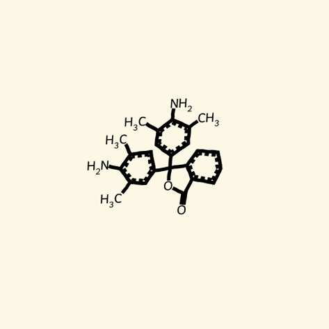 Cc1cc(C2(c3cc(C)c(N)c(C)c3)OC(=O)c3ccccc32)cc(C)c1N